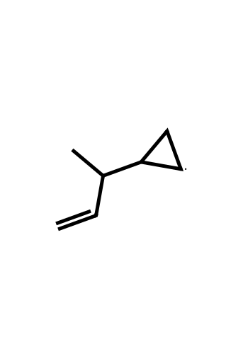 C=CC(C)C1[CH]C1